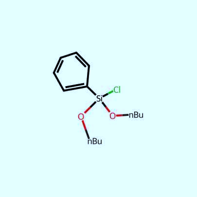 CCCCO[Si](Cl)(OCCCC)c1ccccc1